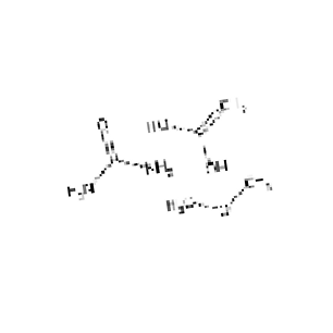 C=C(O)O.COC.NC(N)=O